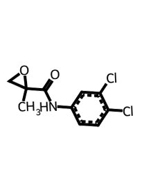 CC1(C(=O)Nc2ccc(Cl)c(Cl)c2)CO1